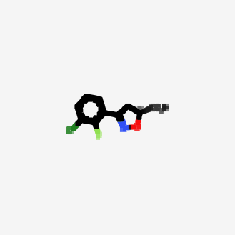 O=C(O)[C@@H]1CC(c2cccc(Cl)c2F)=NO1